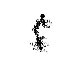 C=Nc1cc(OCCCN2CCN(C(=O)c3cnc(N4CCN(C[C@H]5CN(C(=O)OC(C)(C)C)[C@H](C)CN5Cc5ccccc5)[C@H](C)C4)nc3)CC2)c(S(=O)(=O)C(C)(C)C)cc1/C(=N\C)Nc1[nH]nc(C)c1C